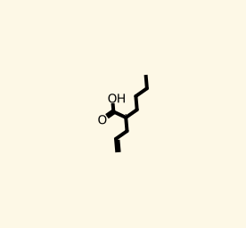 C=CC[C](CCCC)C(=O)O